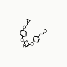 O=CCc1ccc(Oc2cnc(Oc3ccc(OCC4CC4)cc3)s2)cc1